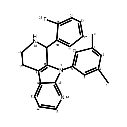 Cc1cc(C)cc(-n2c3c(c4cccnc42)CCNC3c2ccccc2F)c1